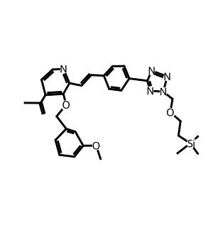 C=C(C)c1ccnc(/C=C/c2ccc(-c3nnn(COCC[Si](C)(C)C)n3)cc2)c1OCc1cccc(OC)c1